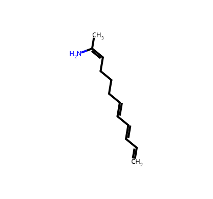 C=C/C=C/C=C/CCC/C=C(/C)N